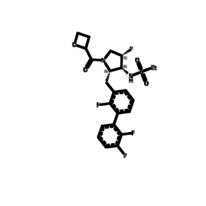 CCS(=O)(=O)N[C@H]1[C@@H](F)CN(C(=O)C2CCO2)[C@H]1Cc1cccc(-c2cccc(F)c2F)c1F